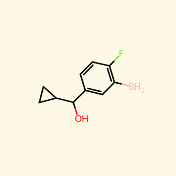 Bc1cc(C(O)C2CC2)ccc1F